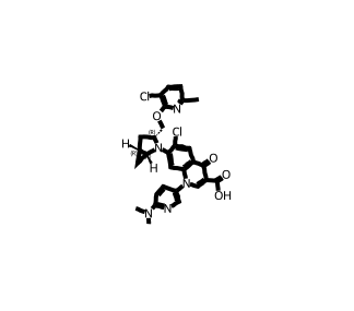 Cc1ccc(Cl)c(OC[C@H]2C[C@H]3C[C@H]3N2c2cc3c(cc2Cl)c(=O)c(C(=O)O)cn3-c2ccc(N(C)C)nc2)n1